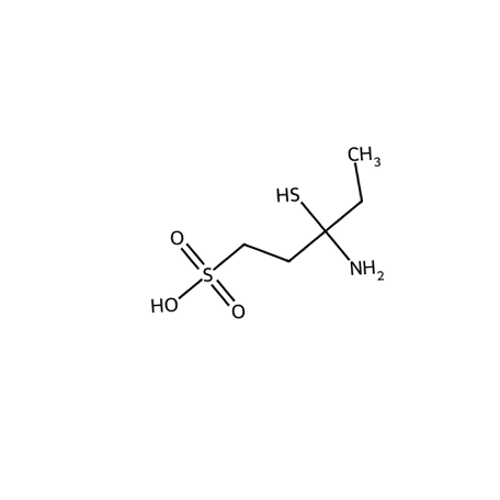 CCC(N)(S)CCS(=O)(=O)O